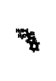 CCC(C)(CN)c1nc2ccccc2s1